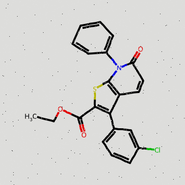 CCOC(=O)c1sc2c(ccc(=O)n2-c2ccccc2)c1-c1cccc(Cl)c1